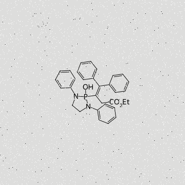 CCOC(=O)CC(=C(c1ccccc1)c1ccccc1)[P]1(O)N(c2ccccc2)CCN1c1ccccc1